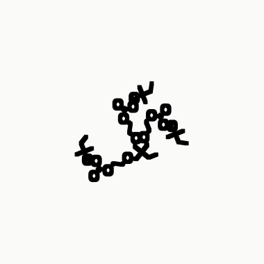 CCC(COCCOC(=O)OOC(C)(C)CC)(COCCOC(=O)OOC(C)(C)CC)COCCOC(=O)OOC(C)(C)CC